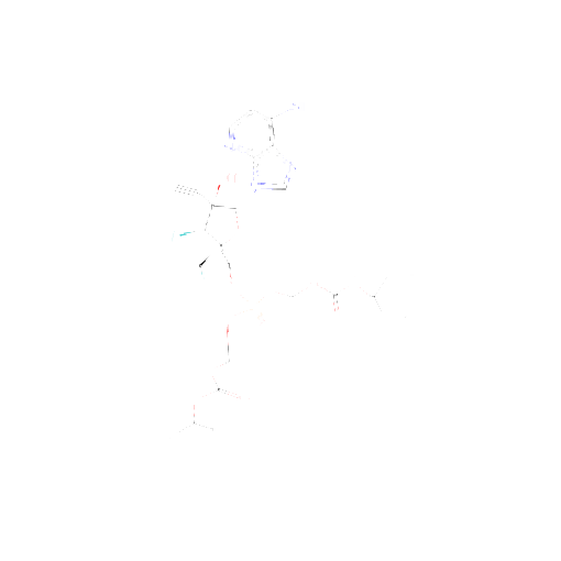 C#C[C@@]1(O)[C@H](F)[C@@](CF)(COP(=O)(OCOC(=O)OC(C)C)OCOC(=O)OC(C)C)O[C@H]1n1cnc2c(N)ccnc21